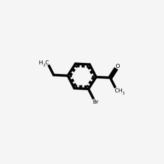 CCc1ccc(C(C)=O)c(Br)c1